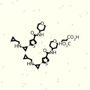 O=C(NC1CCOCC1)c1csc([C@@H]2C[C@H]2NCC2CC2)c1.O=C(NC1CCOCC1)c1csc([C@@H]2C[C@H]2NCC2CC2)c1.O=C(O)CCC(=O)O